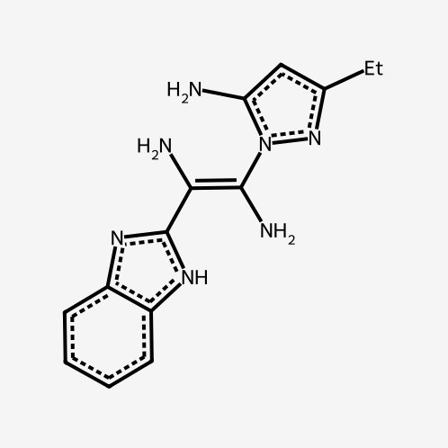 CCc1cc(N)n(/C(N)=C(\N)c2nc3ccccc3[nH]2)n1